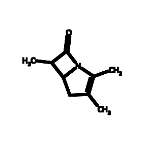 CC1=C(C)N2C(=O)C(C)C2C1